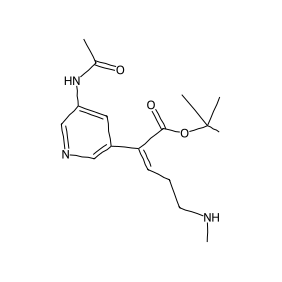 CNCC/C=C(\C(=O)OC(C)(C)C)c1cncc(NC(C)=O)c1